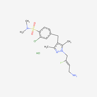 Cc1nn(CC(F)=CCN)c(C)c1Cc1ccc(S(=O)(=O)N(C)C)c(Cl)c1.Cl